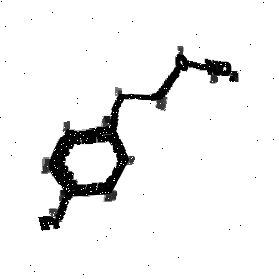 CC(C)c1ccc(CCO[N+](=O)[O-])cc1